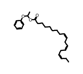 CC/C=C\C/C=C\C/C=C\CCCCCCCC(=O)OC(C)Oc1ccccc1